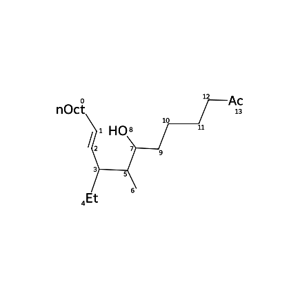 CCCCCCCCC=CC(CC)C(C)C(O)CCCCC(C)=O